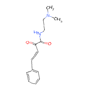 CN(C)CCNC(=O)C(=O)/C=C/c1ccccc1